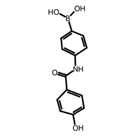 O=C(Nc1ccc(B(O)O)cc1)c1ccc(O)cc1